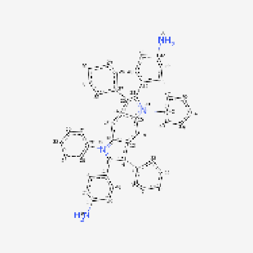 Nc1ccc(-c2c(-c3ccccc3)c3cc4c(cc3n2-c2ccccc2)c(-c2ccccc2)c(-c2ccc(N)cc2)n4-c2ccccc2)cc1